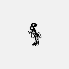 COc1ccc2ccccc2c1C=c1[nH]c(=O)c(=Cc2ncoc2C(C)(C)C)[nH]c1=O